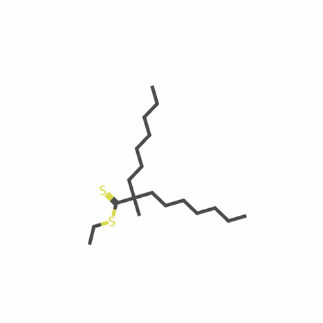 CCCCCCCC(C)(CCCCCCC)C(=S)SCC